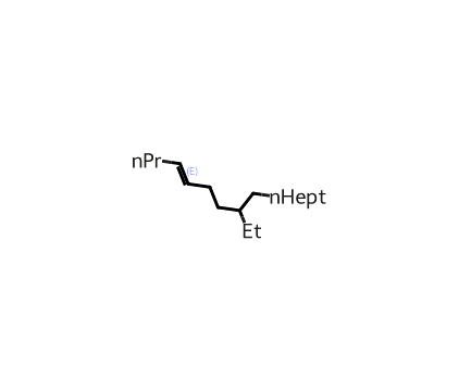 [CH2]CC/C=C/CCC(CC)CCCCCCC[CH2]